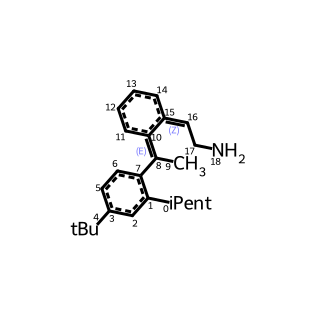 CCCC(C)c1cc(C(C)(C)C)ccc1/C(C)=c1\cccc\c1=C\CN